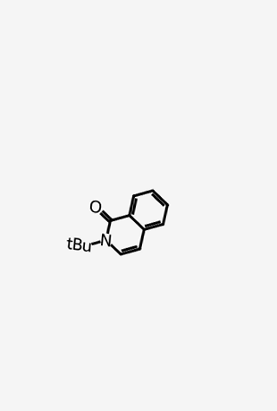 CC(C)(C)n1ccc2ccccc2c1=O